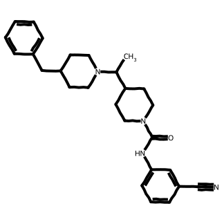 CC(C1CCN(C(=O)Nc2cccc(C#N)c2)CC1)N1CCC(Cc2ccccc2)CC1